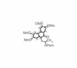 CCCCCC(C)Cc1c(CC)c2cc(OC)c(OC)cc2c2cc(OC)c(OC)cc12